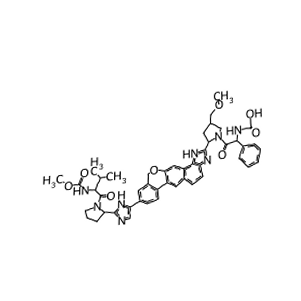 COCC1CC(c2nc3ccc4cc5c(cc4c3[nH]2)OCc2cc(-c3cnc(C4CCCN4C(=O)C(NC(=O)OC)C(C)C)[nH]3)ccc2-5)N(C(=O)C(NC(=O)O)c2ccccc2)C1